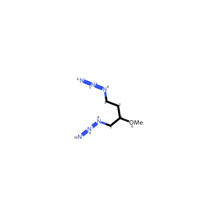 COC(CCN=[N+]=[N-])CN=[N+]=[N-]